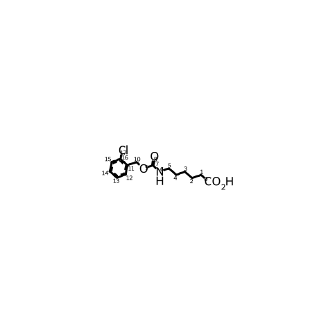 O=C(O)CCCCCNC(=O)OCc1ccccc1Cl